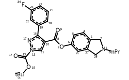 CCCN1Cc2ccc(OC(=O)c3cn(C(=O)OC(C)(C)C)nc3-c3cccc(F)c3)cc2C1